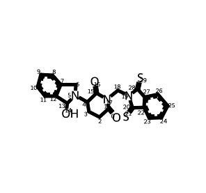 O=C1CCC(N2Cc3ccccc3C2O)C(=O)N1CN1C(=S)c2ccccc2C1=S